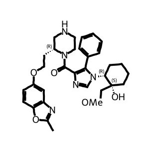 COC[C@]1(O)CCCC[C@H]1n1cnc(C(=O)N2CCNC[C@H]2CCOc2ccc3oc(C)nc3c2)c1-c1ccccc1